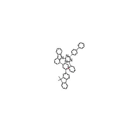 CC1(C)c2ccccc2-c2ccc(-c3cccc(-c4cccc5c6ccccc6n(-c6nc(-c7ccccc7)nc(-c7ccc(-c8ccccc8)cc7)n6)c45)c3)cc21